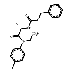 Cc1ccc(N(CC(=O)O)C(=O)[C@H](C)NC(=O)OCc2ccccc2)cc1